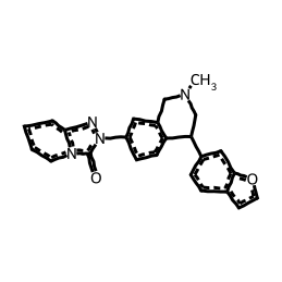 CN1Cc2cc(-n3nc4ccccn4c3=O)ccc2C(c2ccc3ccoc3c2)C1